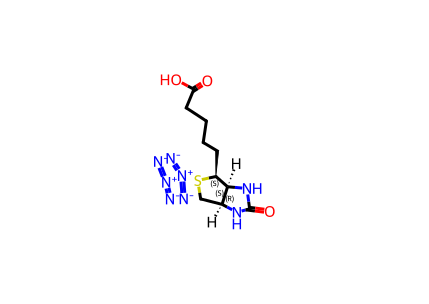 O=C(O)CCCC[C@@H]1SC[C@@H]2NC(=O)N[C@@H]21.[N-]=[N+]=[N-].[N-]=[N+]=[N-]